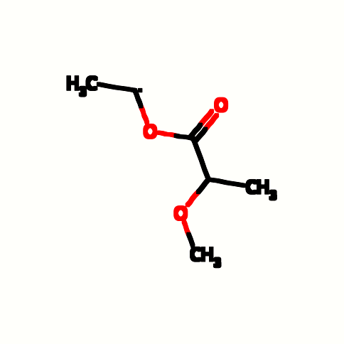 C[CH]OC(=O)C(C)OC